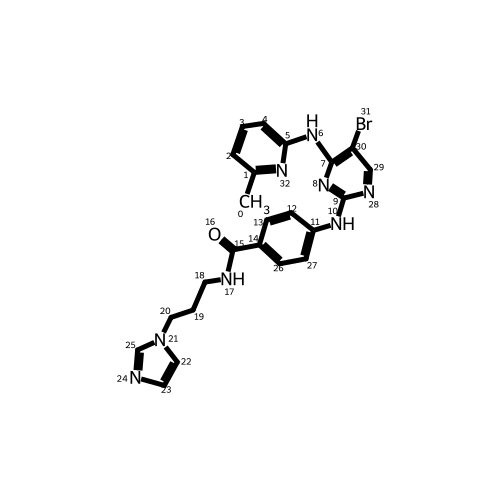 Cc1cccc(Nc2nc(Nc3ccc(C(=O)NCCCn4ccnc4)cc3)ncc2Br)n1